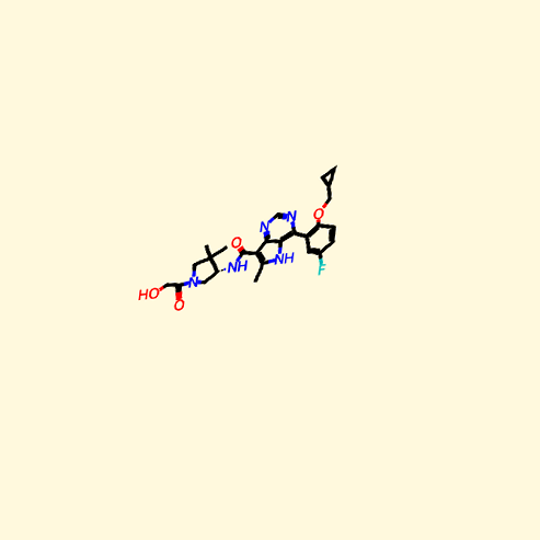 Cc1[nH]c2c(-c3cc(F)ccc3OCC3CC3)ncnc2c1C(=O)N[C@@H]1CN(C(=O)CO)CC1(C)C